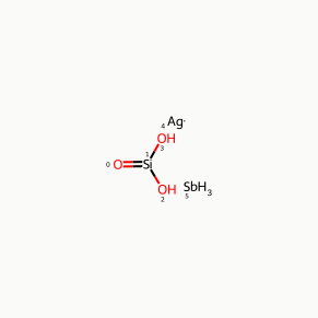 O=[Si](O)O.[Ag].[SbH3]